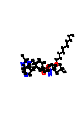 CCCCCCCCCCOCC(CC(C)C)NS(=O)(=O)c1ccc(Cn2c(C)nc3cnccc32)cc1